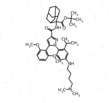 COc1cccc(OC)c1-c1cc(C(=O)NC2(C(=O)OC(C)(C)C)C3CC4CC(C3)CC2C4)nn1-c1ccc(NCCCCN(C)C)cc1C(C)C